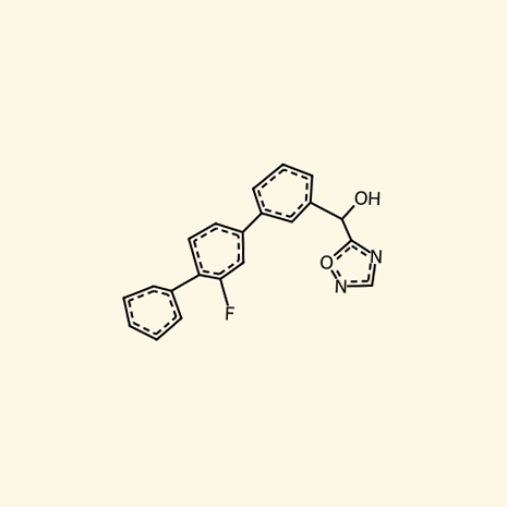 OC(c1cccc(-c2ccc(-c3ccccc3)c(F)c2)c1)c1ncno1